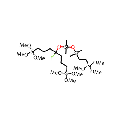 CO[Si](CCCC(F)(CCC[Si](OC)(OC)OC)O[Si](C)(C)O[Si](C)(C)CC[Si](OC)(OC)OC)(OC)OC